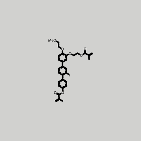 C=C(C)C(=O)OCCOc1cc(-c2ccc(-c3ccc(OC(=O)C(=C)C)cc3)c(F)c2)ccc1OCCOC